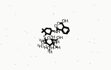 [2H]O[C@]1([2H])[C@@]([2H])(O[2H])[C@]([2H])(SC2CC(NC(=O)c3ccccc3C(=O)O)CCC2(C)C)O[C@]([2H])(C([2H])O)[C@]1([2H])O[2H]